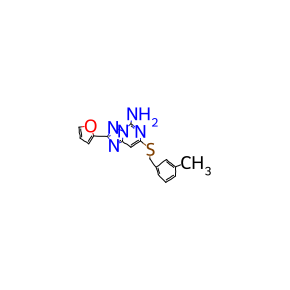 Cc1cccc(CSc2cc3nc(-c4ccco4)nn3c(N)n2)c1